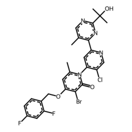 Cc1cnc(C(C)(C)O)nc1-c1cc(-n2c(C)cc(OCc3ccc(F)cc3F)c(Br)c2=O)c(Cl)cn1